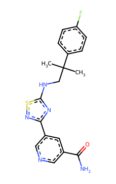 CC(C)(CNc1nc(-c2cncc(C(N)=O)c2)ns1)c1ccc(F)cc1